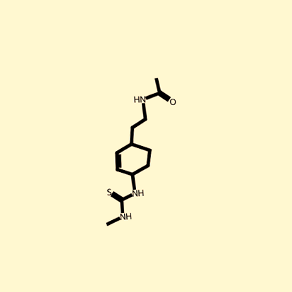 CNC(=S)NC1C=CC(CCNC(C)=O)CC1